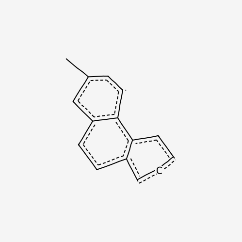 Cc1c[c]c2c(ccc3ccccc32)c1